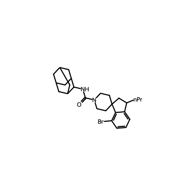 CCCC1CC2(CCN(C(=O)NC3C4CC5CC(C4)CC3C5)CC2)c2c(Br)cccc21